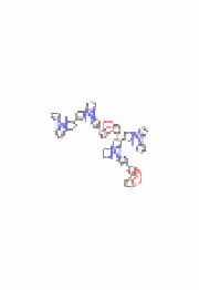 c1ccc(-n2c3ccccc3c3ccc(-c4ccc5c6ccccc6n(-c6ccc(-c7cccc8c7oc7cccc(-c9cc%10c%11ccccc%11n(-c%11ccc(-c%12ccc%13oc%14ccccc%14c%13c%12)cc%11)c%10cc9-c9ccc%10c%11ccccc%11n(-c%11ccccc%11)c%10c9)c78)cc6)c5c4)cc32)cc1